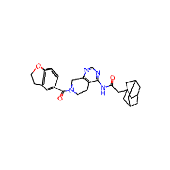 O=C(CC12CC3CC(CC(C3)C1)C2)Nc1ncnc2c1CCN(C(=O)c1ccc3c(c1)CCO3)C2